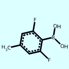 Cc1cc(F)c(B(O)O)c(F)c1